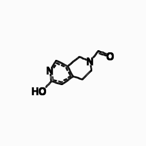 O=CN1CCc2cc(O)ncc2C1